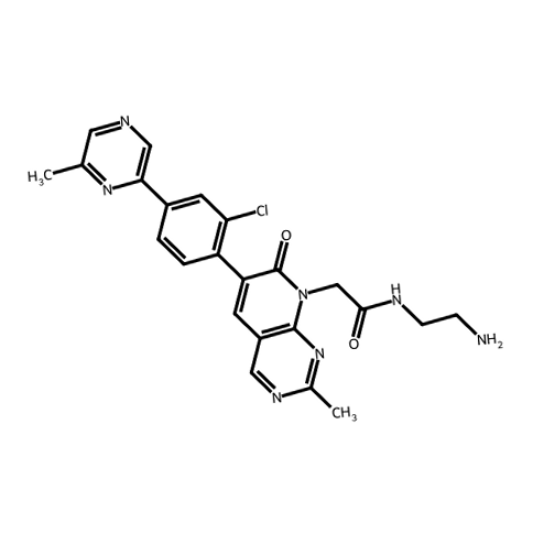 Cc1cncc(-c2ccc(-c3cc4cnc(C)nc4n(CC(=O)NCCN)c3=O)c(Cl)c2)n1